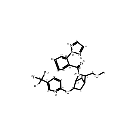 COCC1C2CC(Oc3ccc(C(F)(F)F)cn3)C(C2)N1C(=O)c1ccccc1-n1nccn1